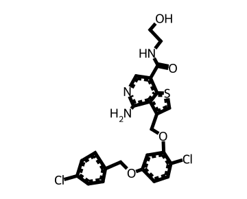 Nc1ncc(C(=O)NCCO)c2scc(COc3cc(OCc4ccc(Cl)cc4)ccc3Cl)c12